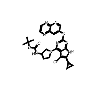 CC(C)(C)OC(=O)NC1CCN(c2nc(Sc3cnc4nccnc4c3)nc3[nH]c(C4CC4)c(Cl)c23)C1